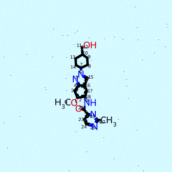 COc1cc2nn(C3CCC(CO)CC3)cc2cc1NC(=O)c1ccnc(C)n1